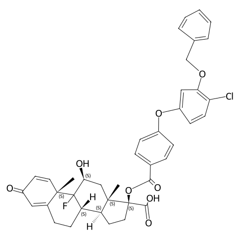 C[C@]12C=CC(=O)C=C1CC[C@H]1[C@@H]3CC[C@@](OC(=O)c4ccc(Oc5ccc(Cl)c(OCc6ccccc6)c5)cc4)(C(=O)O)[C@@]3(C)C[C@H](O)C12F